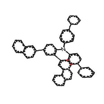 c1ccc(-c2ccc(N(c3ccc(-c4ccccc4)cc3)c3ccc(-c4ccc5ccccc5c4)cc3-c3ccc4ccc5ccccc5c4c3)cc2)cc1